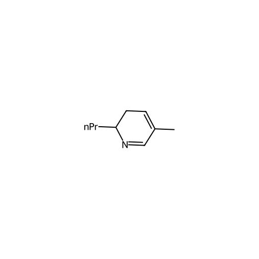 CCCC1CC=C(C)C=N1